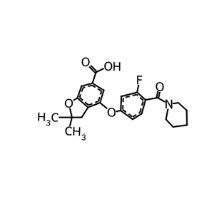 CC1(C)Cc2c(Oc3ccc(C(=O)N4CCCCC4)c(F)c3)cc(C(=O)O)cc2O1